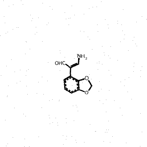 NC=C(C=O)c1cccc2c1OCO2